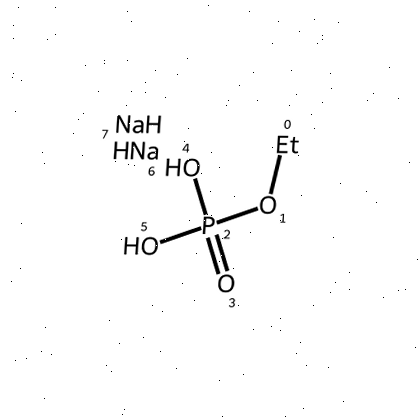 CCOP(=O)(O)O.[NaH].[NaH]